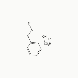 O=C(O)O.[K+].[S-]SSc1ccccc1